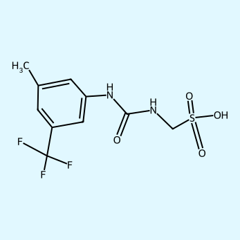 Cc1cc(NC(=O)NCS(=O)(=O)O)cc(C(F)(F)F)c1